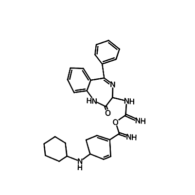 N=C(NC1N=C(c2ccccc2)c2ccccc2NC1=O)OC(=N)C1=CCC(NC2CCCCC2)C=C1